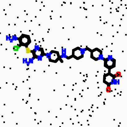 CC1(NCC2CCN(CC3CCN(c4cc(C5CCC(=O)NC5=O)ccn4)CC3)CC2)CCN(c2cnc(Sc3cccc(N)c3Cl)c(N)n2)CC1